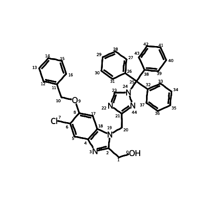 OCc1nc2cc(Cl)c(OCc3ccccc3)cc2n1Cc1ncn(C(c2ccccc2)(c2ccccc2)c2ccccc2)n1